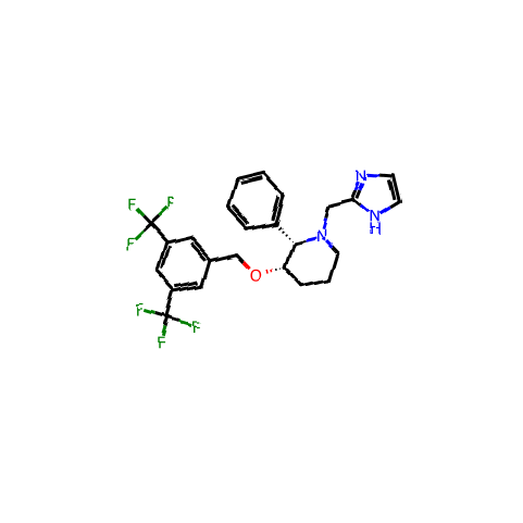 FC(F)(F)c1cc(CO[C@H]2CCCN(Cc3ncc[nH]3)[C@H]2c2ccccc2)cc(C(F)(F)F)c1